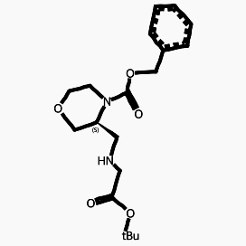 CC(C)(C)OC(=O)CNC[C@H]1COCCN1C(=O)OCc1ccccc1